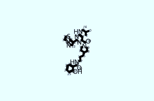 CC(C)[C@@H](C)Nc1cc(C(=O)N2CCC(CCCNC(=O)c3ccccc3O)CC2)nc(-c2cnn3ccsc23)n1